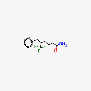 NC(=O)CCCC(Cc1ccccc1)C(F)(F)F